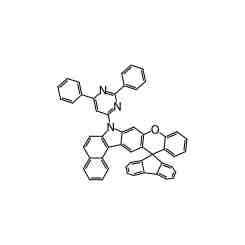 c1ccc(-c2cc(-n3c4cc5c(cc4c4c6ccccc6ccc43)C3(c4ccccc4O5)c4ccccc4-c4ccccc43)nc(-c3ccccc3)n2)cc1